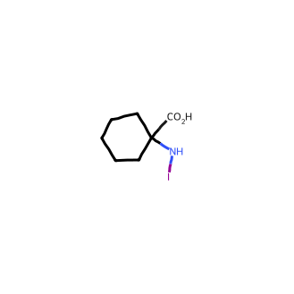 O=C(O)C1(NI)CCCCC1